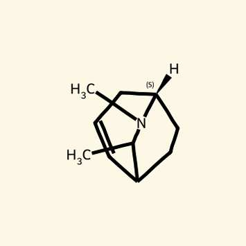 CC1C2C=CC[C@H](CC2)N1C